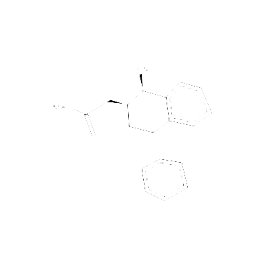 COC(=O)C[C@@H]1C[C@@H](c2ccccc2)c2ccccc2[C@@H]1C#N